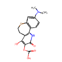 CN(C)c1ccc2c(c1)SCCc1c-2[nH]c(=O)c(OC(=O)O)c1O